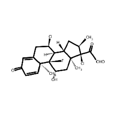 C[C@@H]1C[C@H]2[C@@H]3[C@H](Cl)CC4=CC(=O)C=C[C@]4(C)[C@@]3(F)[C@@H](O)C[C@]2(C)[C@@]1(Cl)C(=O)C=O